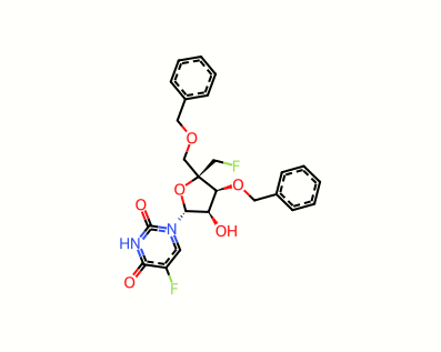 O=c1[nH]c(=O)n([C@@H]2O[C@](CF)(COCc3ccccc3)[C@@H](OCc3ccccc3)[C@H]2O)cc1F